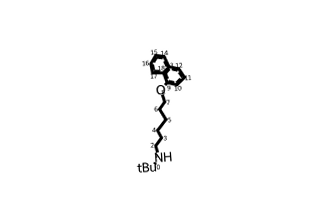 CC(C)(C)NCCCCCCOc1cccc2ccccc12